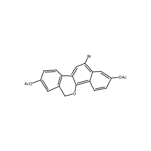 CC(=O)Oc1ccc2c(c1)COc1c-2cc(Br)c2cc(OC(C)=O)ccc12